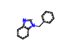 [c]1nc2ccccc2n1Cc1ccccc1